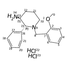 COc1ccccc1CN1CCC[C@H](N)[C@H]1c1ccccc1.Cl.Cl